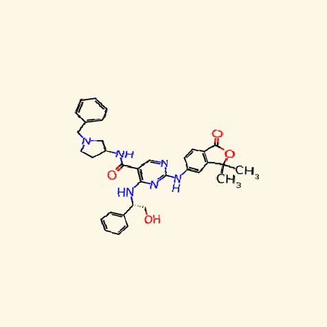 CC1(C)OC(=O)c2ccc(Nc3ncc(C(=O)NC4CCN(Cc5ccccc5)C4)c(N[C@H](CO)c4ccccc4)n3)cc21